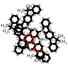 CC1(C)c2ccccc2-c2cc(Nc3c(-n4c5ccccc5c5cc6c(cc54)-c4ccccc4C6(C)C)nc(-n4c5ccccc5c5cc6c(cc54)-c4ccccc4C6(C)C)c(-n4c5ccccc5c5cc6c(cc54)-c4ccccc4C6(C)C)c3-c3nc(-c4ccccc4)nc(-c4ccccc4)n3)c(-c3ccccc3)cc21